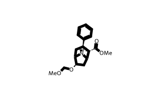 COCO[C@H]1CC2[C@@H](C(=O)OC)[C@H](c3ccccc3)CC1N2C